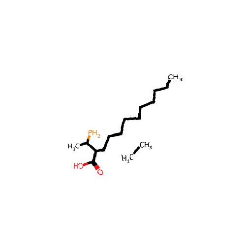 CC.CCCCCCCCCCC(C(=O)O)C(C)P